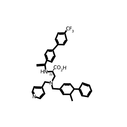 C=C(N[C@@H](CN(CC1=CC(C)C(c2ccccc2)C=C1)Cc1ccncc1)C(=O)O)c1ccc(-c2ccc(C(F)(F)F)cc2)cc1